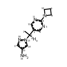 [2H]C(C)(c1cnc(N2CCC2)nc1)n1cc(N)cn1